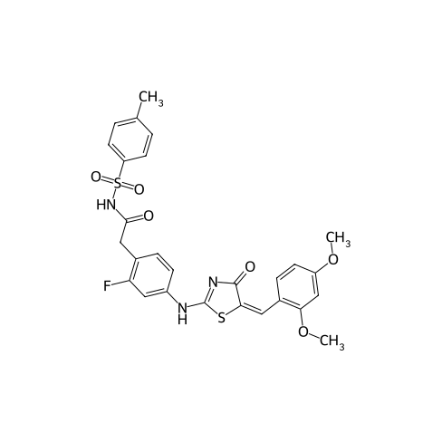 COc1ccc(C=C2SC(Nc3ccc(CC(=O)NS(=O)(=O)c4ccc(C)cc4)c(F)c3)=NC2=O)c(OC)c1